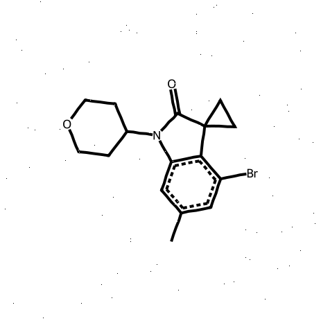 Cc1cc(Br)c2c(c1)N(C1CCOCC1)C(=O)C21CC1